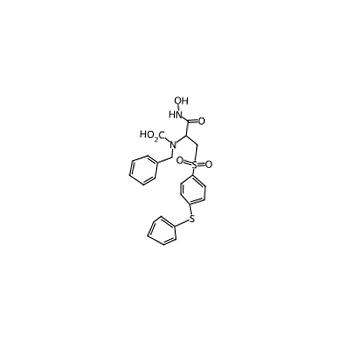 O=C(NO)C(CS(=O)(=O)c1ccc(Sc2ccccc2)cc1)N(Cc1ccccc1)C(=O)O